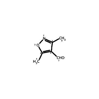 Cc1noc(C)c1[C]=O